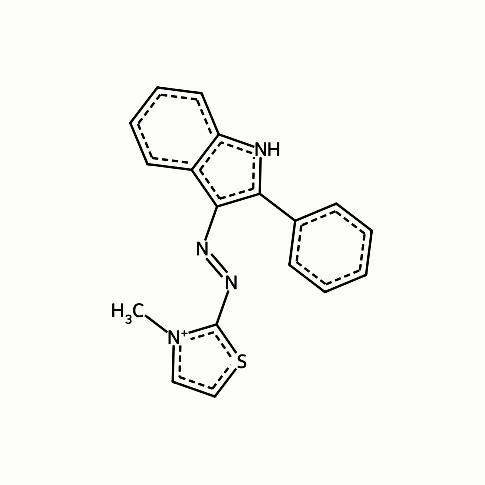 C[n+]1ccsc1/N=N/c1c(-c2ccccc2)[nH]c2ccccc12